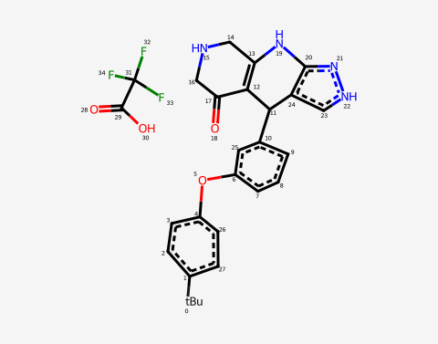 CC(C)(C)c1ccc(Oc2cccc(C3C4=C(CNCC4=O)Nc4n[nH]cc43)c2)cc1.O=C(O)C(F)(F)F